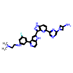 CN(C)CCNc1cc(F)cc(-c2nccc3[nH]c(-c4n[nH]c5ccc(-c6cncc(N7CC(N)C7)n6)nc45)cc23)c1